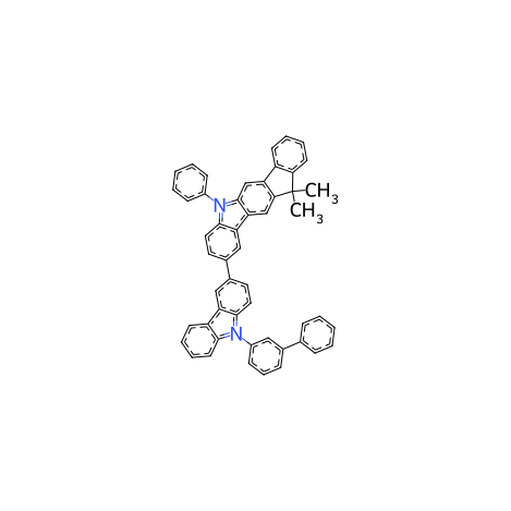 CC1(C)c2ccccc2-c2cc3c(cc21)c1cc(-c2ccc4c(c2)c2ccccc2n4-c2cccc(-c4ccccc4)c2)ccc1n3-c1ccccc1